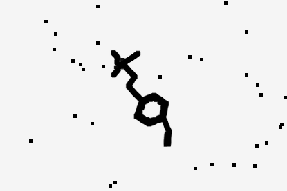 C=Cc1ccc(CC[Si](C)(C)C)cc1